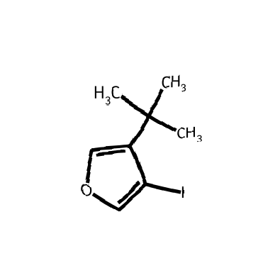 CC(C)(C)c1cocc1I